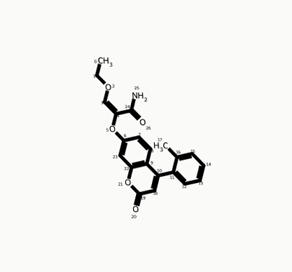 CCOC=C(Oc1ccc2c(-c3ccccc3C)cc(=O)oc2c1)C(N)=O